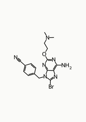 CN(C)CCOc1nc(N)c2nc(Br)n(Cc3ccc(C#N)cc3)c2n1